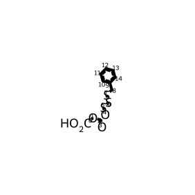 O=C(O)OC(=O)OSSSCc1ccccc1